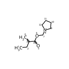 C=C(CC)C(=O)OCN1CCCC1